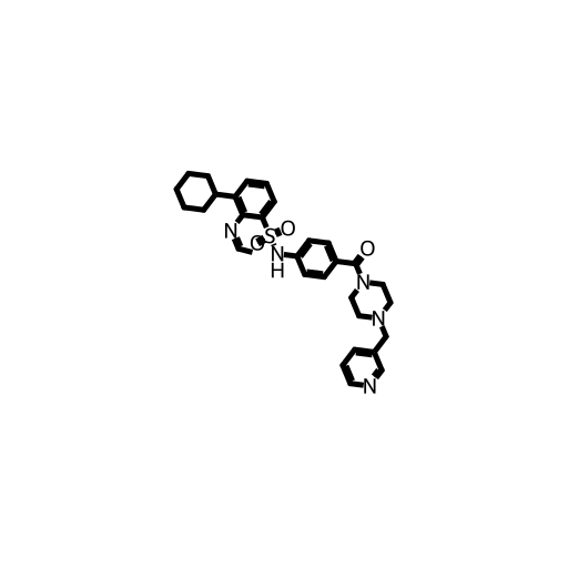 C/C=N\c1c(C2CCCCC2)cccc1S(=O)(=O)Nc1ccc(C(=O)N2CCN(Cc3cccnc3)CC2)cc1